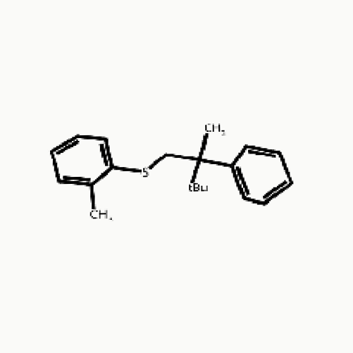 Cc1ccccc1SCC(C)(c1ccccc1)C(C)(C)C